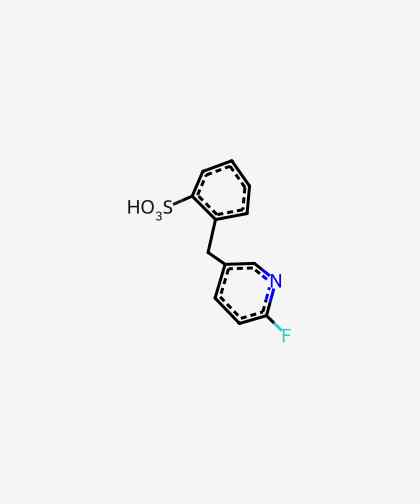 O=S(=O)(O)c1ccccc1Cc1ccc(F)nc1